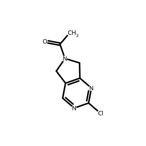 CC(=O)N1Cc2cnc(Cl)nc2C1